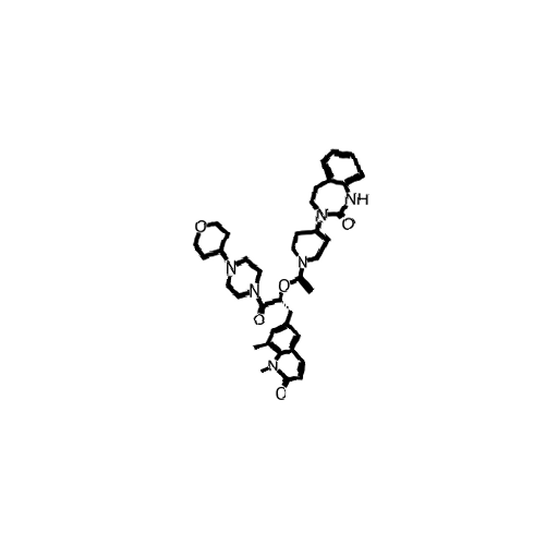 C=C(O[C@H](Cc1cc(C)c2c(ccc(=O)n2C)c1)C(=O)N1CCN(C2CCOCC2)CC1)N1CCC(N2CCc3ccccc3NC2=O)CC1